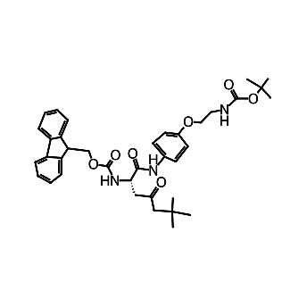 CC(C)(C)CC(=O)C[C@H](NC(=O)OCC1c2ccccc2-c2ccccc21)C(=O)Nc1ccc(OCCNC(=O)OC(C)(C)C)cc1